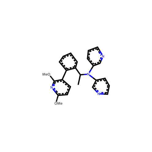 COc1ccc(-c2ccccc2C(C)N(c2cccnc2)c2cccnc2)c(OC)n1